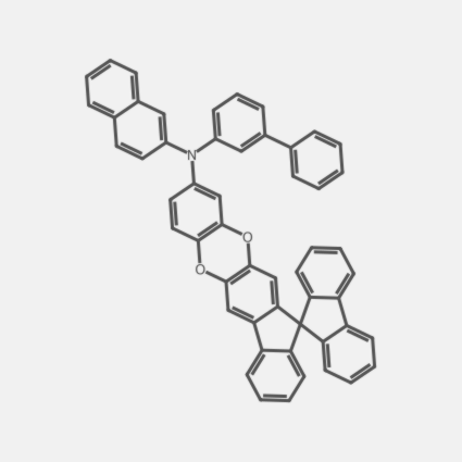 c1ccc(-c2cccc(N(c3ccc4c(c3)Oc3cc5c(cc3O4)-c3ccccc3C53c4ccccc4-c4ccccc43)c3ccc4ccccc4c3)c2)cc1